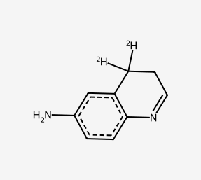 [2H]C1([2H])CC=Nc2ccc(N)cc21